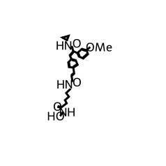 COc1cccc(/C(=C\c2ccc(/C=C/C(=O)NCCCCCC(=O)NO)cc2)C(=O)NC2CC2)c1